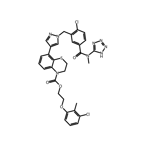 Cc1c(Cl)cccc1OCCOC(=O)N1CCSc2c(-c3cnn(Cc4cc(C(=O)N(C)c5nnn[nH]5)ccc4Cl)c3)cccc21